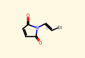 CC/C=C/N1C(=O)C=CC1=O